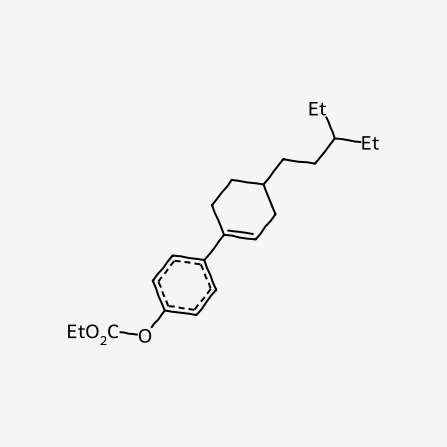 CCOC(=O)Oc1ccc(C2=CCC(CCC(CC)CC)CC2)cc1